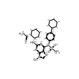 CCn1cnc2c(N(c3ccc(C4CCCCC4)cc3)S(N)(=O)=O)nc(N[C@H]3CCCC[C@H]3C(N)=O)nc21